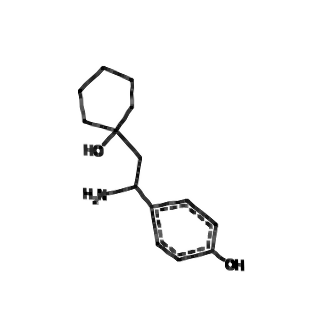 NC(CC1(O)CCCCC1)c1ccc(O)cc1